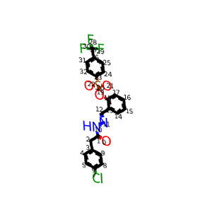 O=C(Cc1ccc(Cl)cc1)N/N=C/c1ccccc1OS(=O)(=O)c1ccc(C(F)(F)F)cc1